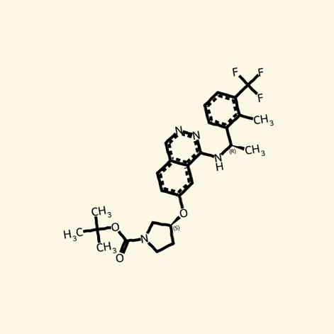 Cc1c([C@@H](C)Nc2nncc3ccc(O[C@H]4CCN(C(=O)OC(C)(C)C)C4)cc23)cccc1C(F)(F)F